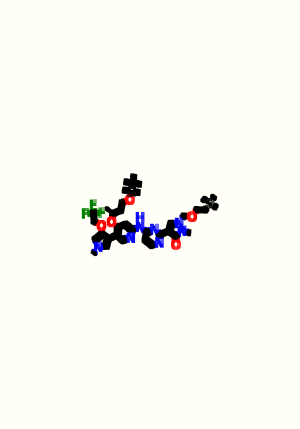 C[C@@H](CCO[Si](C)(C)C(C)(C)C)Oc1cc(Nc2ccnc(-c3cn(COCC[Si](C)(C)C)n(C)c3=O)n2)ncc1-c1cn(C)cc1OCC(F)(F)F